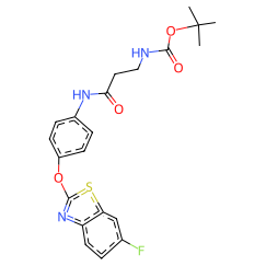 CC(C)(C)OC(=O)NCCC(=O)Nc1ccc(Oc2nc3ccc(F)cc3s2)cc1